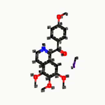 CI.COc1ccc(C(=O)c2nccc3c(OC)c(OC)c(OC)cc23)cc1